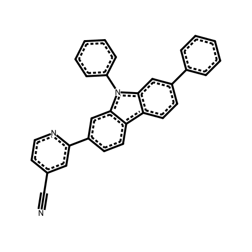 N#Cc1ccnc(-c2ccc3c4ccc(-c5ccccc5)cc4n(-c4ccccc4)c3c2)c1